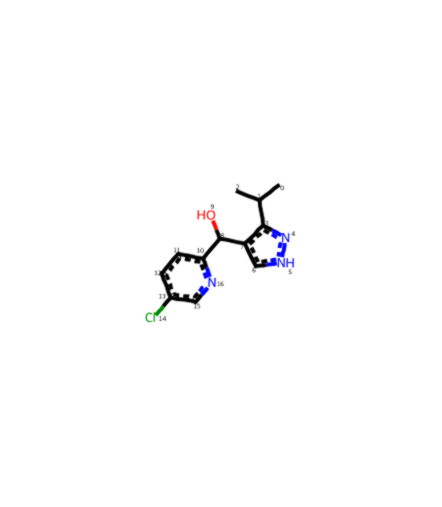 CC(C)c1n[nH]cc1C(O)c1ccc(Cl)cn1